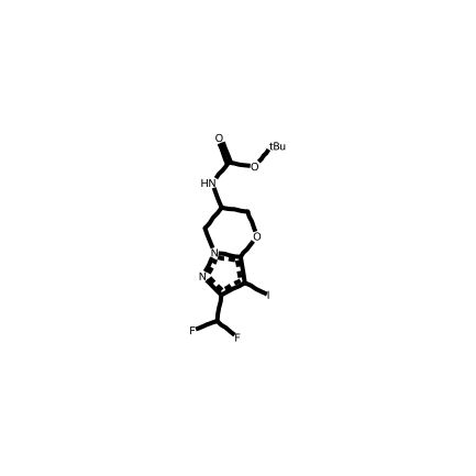 CC(C)(C)OC(=O)NC1COc2c(I)c(C(F)F)nn2C1